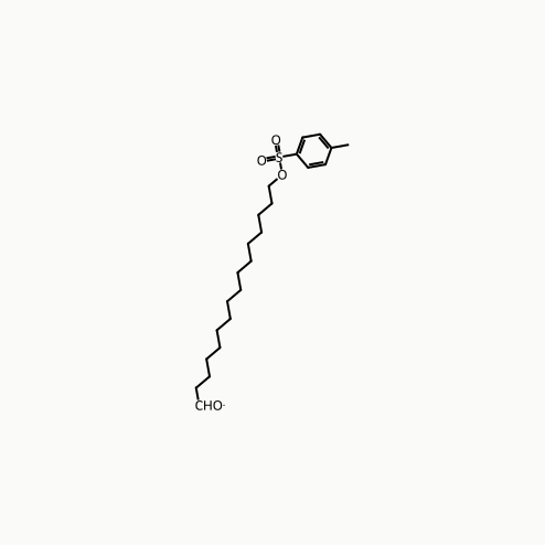 Cc1ccc(S(=O)(=O)OCCCCCCCCCCCCCCC[C]=O)cc1